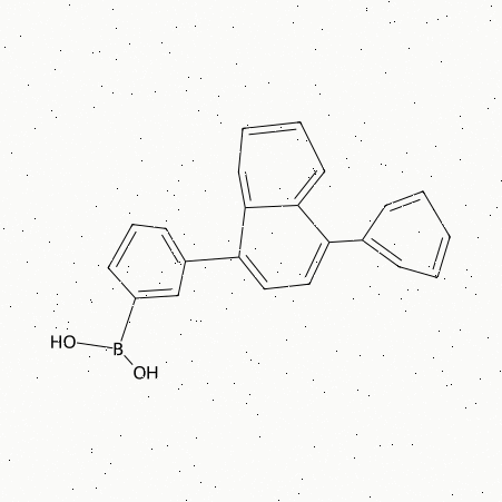 OB(O)c1cccc(-c2ccc(-c3ccccc3)c3ccccc23)c1